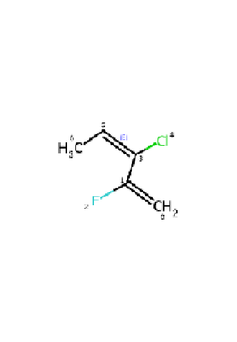 C=C(F)/C(Cl)=C\C